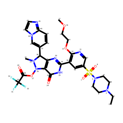 CCN1CCN(S(=O)(=O)c2cnc(OCCOC)c(-c3nc4c(c(=O)[nH]3)N(OC(=O)C(F)(F)F)N(C)C4c3ccc4nccn4c3)c2)CC1